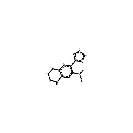 FC(F)c1cc2c(cc1-c1cnco1)CCCN2